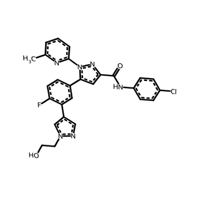 Cc1cccc(-n2nc(C(=O)Nc3ccc(Cl)cc3)cc2-c2ccc(F)c(-c3cnn(CCO)c3)c2)n1